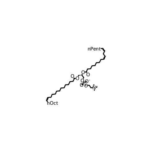 CCCCC/C=C\C/C=C\CCCCCCCC(=O)O[C@H](COC(=O)CCCCCCCCCCC/C=C\CCCCCCCC)COP(=O)([O-])OCC[N+](C)(C)C